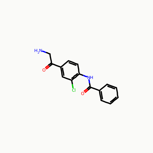 NCC(=O)c1ccc(NC(=O)c2ccccc2)c(Cl)c1